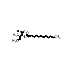 CCCCCCCCCCCCC(=O)N[C@H](C(=O)O)[C@@H](C)CC